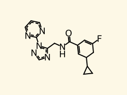 O=C(NCc1ncnn1-c1ncccn1)C1=CC(C2CC2)CC(F)=C1